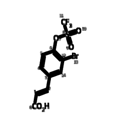 O=C(O)C=Cc1ccc(OS(=O)(=O)C(F)(F)F)c(Br)c1